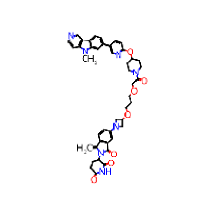 C=C1c2ccc(N3CC(OCCCOCC(=O)N4CCC(Oc5ccc(-c6ccc7c8cnccc8n(C)c7c6)cn5)CC4)C3)cc2C(=O)N1C1CCC(=O)NC1=O